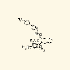 COc1cc(C)c(S(=O)(=O)N2Cc3ccccc3CC2COC(=O)CN2CCN(C3CCN(C)CC3)CC2)c(C)c1